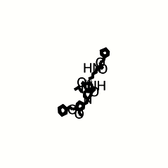 CCCN1C(=O)[C@H](CCCCNC(=O)OCc2ccccc2)NC(=O)C12CCN(Cc1ccc(OCc3ccccc3)c(OC)c1)CC2